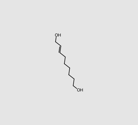 OCC=CCCCCCCO